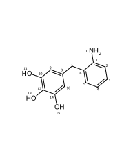 Nc1ccccc1Cc1cc(O)c(O)c(O)c1